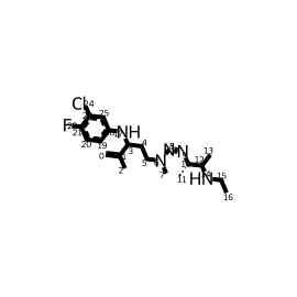 C=C(C)C(CCN(C)/N=N\[C@@H](C)C(C)NCC)Nc1ccc(F)c(Cl)c1